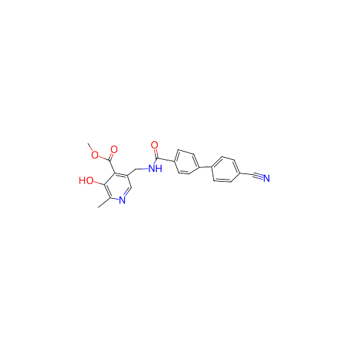 COC(=O)c1c(CNC(=O)c2ccc(-c3ccc(C#N)cc3)cc2)cnc(C)c1O